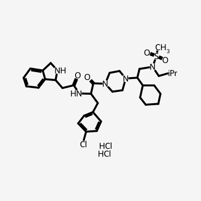 CC(C)CN(CC(C1CCCCC1)N1CCN(C(=O)C(Cc2ccc(Cl)cc2)NC(=O)CC2NCc3ccccc32)CC1)S(C)(=O)=O.Cl.Cl